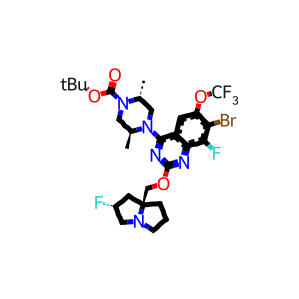 C[C@@H]1CN(c2nc(OC[C@@]34CCCN3C[C@H](F)C4)nc3c(F)c(Br)c(OC(F)(F)F)cc23)[C@@H](C)CN1C(=O)OC(C)(C)C